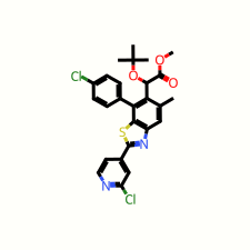 COC(=O)C(OC(C)(C)C)c1c(C)cc2nc(-c3ccnc(Cl)c3)sc2c1-c1ccc(Cl)cc1